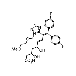 COCCOCn1nnnc1C(C=CC(O)CC(O)CC(=O)O)=C(c1ccc(F)cc1)c1ccc(F)cc1